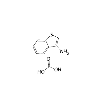 Nc1csc2ccccc12.O=C(O)O